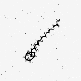 O=C(O)COCCOCCOCCNC(=O)CC12CC3CC4CC(C1)C2(C4)C3